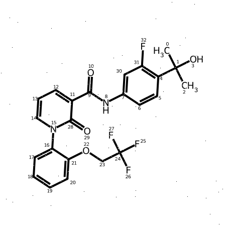 CC(C)(O)c1ccc(NC(=O)c2cccn(-c3ccccc3OCC(F)(F)F)c2=O)cc1F